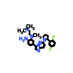 CN(C)CCN(C)c1cc(-c2cnc3ccc(N4CCCC4c4cc(F)ccc4F)nn23)ccc1N